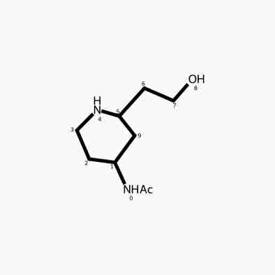 CC(=O)NC1CCNC(CCO)C1